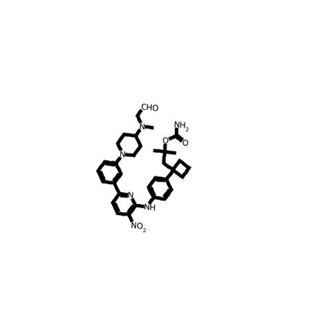 CN(CC=O)C1CCN(c2cccc(-c3ccc([N+](=O)[O-])c(Nc4ccc(C5(CC(C)(C)OC(N)=O)CCC5)cc4)n3)c2)CC1